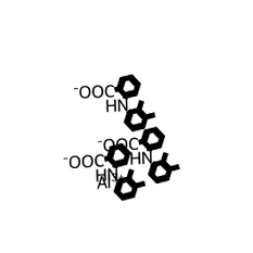 Cc1cccc(Nc2ccccc2C(=O)[O-])c1C.Cc1cccc(Nc2ccccc2C(=O)[O-])c1C.Cc1cccc(Nc2ccccc2C(=O)[O-])c1C.[Al+3]